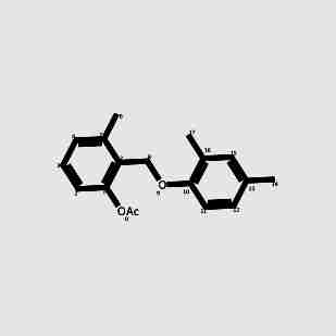 CC(=O)Oc1cccc(C)c1COc1ccc(C)cc1C